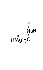 [MgH+].[NaH].[OH-].[Ti]